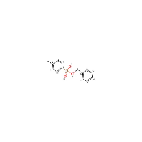 Cc1ccc(S(=O)(=O)OCc2c[c]ccc2)cc1